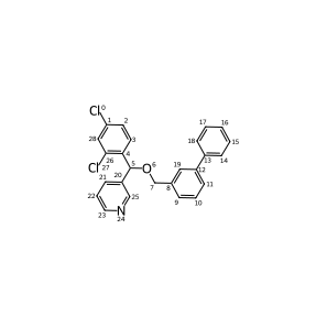 Clc1ccc(C(OCc2cccc(-c3ccccc3)c2)c2cccnc2)c(Cl)c1